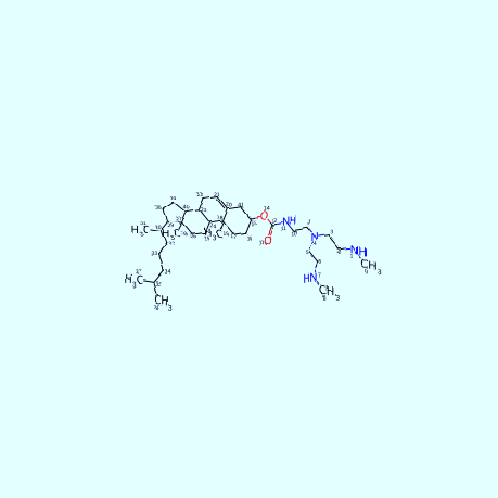 CNCCN(CCNC)CCNC(=O)OC1CCC2(C)C(=CCC3C2CCC2(C)C(C(C)CCCC(C)C)CCC32)C1